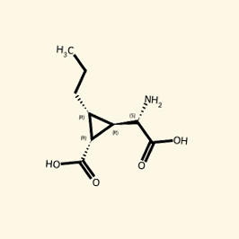 CCC[C@H]1[C@@H](C(=O)O)[C@@H]1[C@H](N)C(=O)O